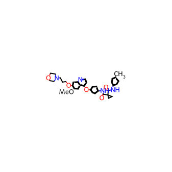 COc1cc2c(Oc3ccc(NC(=O)C4(C(=O)Nc5ccc(C)cc5)CC4)cc3)ccnc2cc1OCCCN1CCOCC1